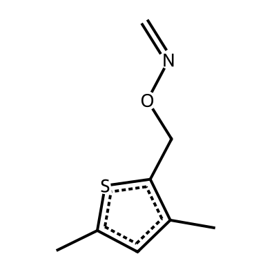 C=NOCc1sc(C)cc1C